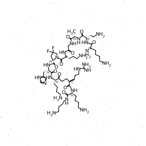 C[C@H](NC(=O)[C@H](CCN)NC(=O)[C@@H](N)CCCCN)C(=O)NCC(=O)N[C@H](CCCN)C(=O)N1CC(F)(F)C[C@H]1C(=O)N[C@@H](Cc1cnc[nH]1)C(=O)N[C@@H](CCCCN)C(=O)CC/C(=C\CCNC(=N)N)C(=O)N[C@@H](CCCCN)C(=O)NCCCCN